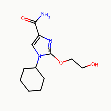 NC(=O)c1cn(C2CCCCC2)c(OCCO)n1